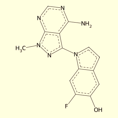 Cn1nc(-n2ccc3cc(O)c(F)cc32)c2c(N)ncnc21